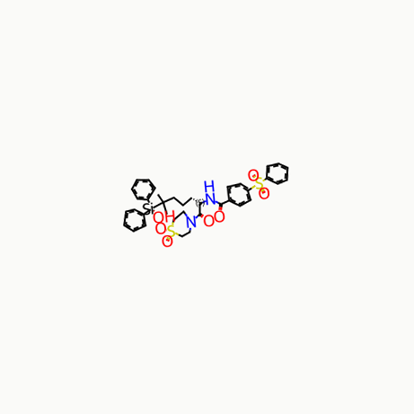 CC(C)(CCC[C@H](NC(=O)c1ccc(S(=O)(=O)c2ccccc2)cc1)C(=O)N1CCS(=O)(=O)CC1)[Si](O)(c1ccccc1)c1ccccc1